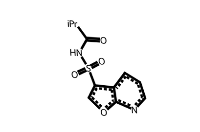 CC(C)C(=O)NS(=O)(=O)c1coc2ncccc12